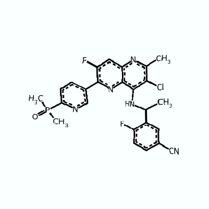 Cc1nc2cc(F)c(-c3ccc(P(C)(C)=O)nc3)nc2c(NC(C)c2cc(C#N)ccc2F)c1Cl